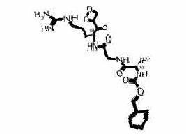 CC(C)[C@H](NC(=O)OCc1ccccc1)C(=O)NCC(=O)N[C@@H](CCCNC(=N)N)C(=O)C1COO1